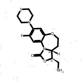 NC[C@H]1OC(=O)N2c3cc(F)c(N4CCSCC4)cc3OCC[C@H]12